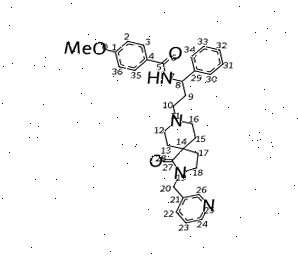 COc1ccc(C(=O)NC(CCN2CCC3(CC2)CCN(Cc2cccnc2)C3=O)c2ccccc2)cc1